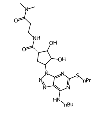 CCCCNc1nc(SCCC)nc2c1nnn2C1C[C@H](C(=O)NCCC(=O)N(C)C)C(O)C1O